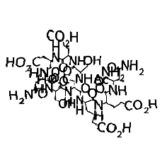 CC(=O)N[C@H](CO)C(=O)N[C@H](CCC(=O)O)C(=O)N[C@H](CC(=O)O)C(=O)N[C@H](CC(N)=O)C(=O)N[C@H](CO)C(=O)N[C@H](CC(=O)O)C(=O)N[C@H](CCCC(=O)O)C(=O)N[C@H](CCC(=O)O)C(=O)N[C@H](CC(N)=O)C(N)=O